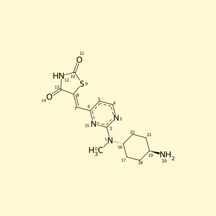 CN(c1nccc(/C=C2\SC(=O)NC2=O)n1)[C@H]1CC[C@H](N)CC1